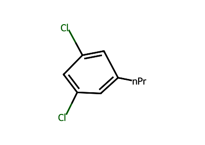 [CH2]CCc1cc(Cl)cc(Cl)c1